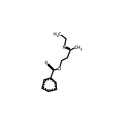 CCN=C(C)CCOC(=O)c1ccccc1